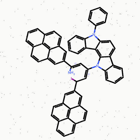 N/C(=C\C(=C/C(I)c1cc2ccc3cccc4ccc(c1)c2c34)n1c2ccccc2c2ccc3c(c4ccccc4n3-c3ccccc3)c21)c1cc2ccc3cccc4ccc(c1)c2c34